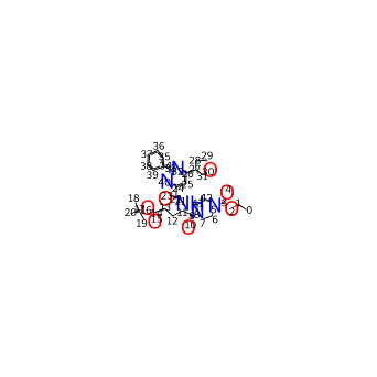 CCOC(=O)N1CCN(C(=O)C(CCC(=O)OC(C)(C)C)NC(=O)c2cc(C3CCOC3)nc(-c3ccccc3)n2)CC1